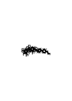 CCCC1CCC(c2ccc(COc3ccc(C(F)(F)Oc4cc(F)c(F)c(F)c4)c(F)c3F)cc2)CC1